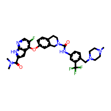 CN1CCN(Cc2ccc(NC(=O)N3CCc4ccc(Oc5c(F)cnc6[nH]c(C(=O)N(C)C)cc56)cc4C3)cc2C(F)(F)F)CC1